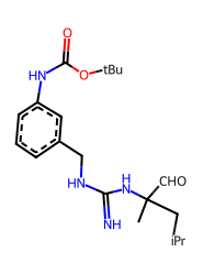 CC(C)CC(C)(C=O)NC(=N)NCc1cccc(NC(=O)OC(C)(C)C)c1